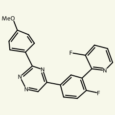 COc1ccc(-c2nncc(-c3ccc(F)c(-c4ncccc4F)c3)n2)cc1